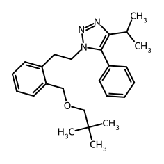 CC(C)c1nnn(CCc2ccccc2COCC(C)(C)C)c1-c1ccccc1